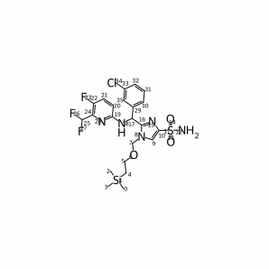 C[Si](C)(C)CCOCn1cc(S(N)(=O)=O)nc1C(Nc1ccc(F)c(C(F)F)n1)c1cccc(Cl)c1